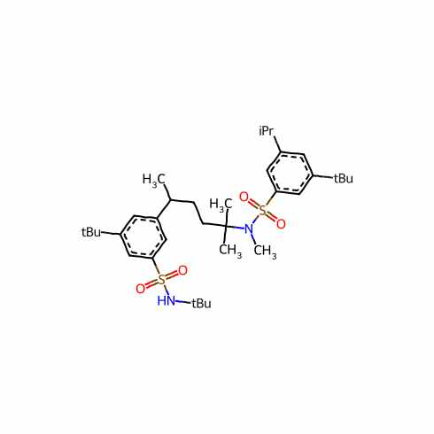 CC(C)c1cc(C(C)(C)C)cc(S(=O)(=O)N(C)C(C)(C)CCC(C)c2cc(C(C)(C)C)cc(S(=O)(=O)NC(C)(C)C)c2)c1